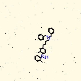 [CH2]c1ccccc1Nc1ccc(CCCCN(Cc2ccccc2)Cc2ccccc2)cc1[CH2]